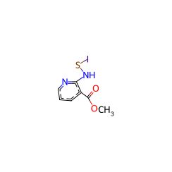 COC(=O)c1cccnc1NSI